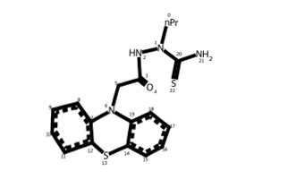 CCCN(NC(=O)CN1c2ccccc2Sc2ccccc21)C(N)=S